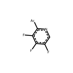 CC(=O)c1ncc(F)c(F)c1F